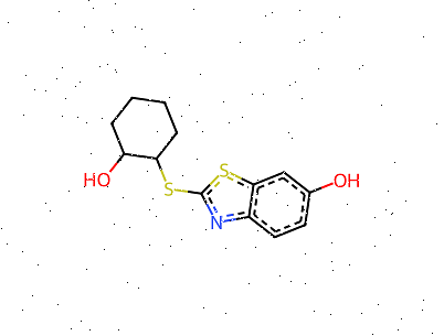 Oc1ccc2nc(SC3CCCCC3O)sc2c1